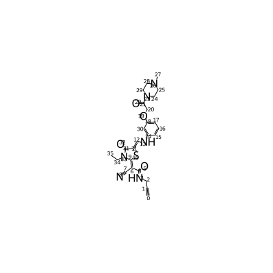 C#CCNC(=O)C(C#N)=c1sc(=CNc2cccc(OCC(=O)N3CCN(C)CC3)c2)c(=O)n1CC